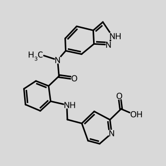 CN(C(=O)c1ccccc1NCc1ccnc(C(=O)O)c1)c1ccc2c[nH]nc2c1